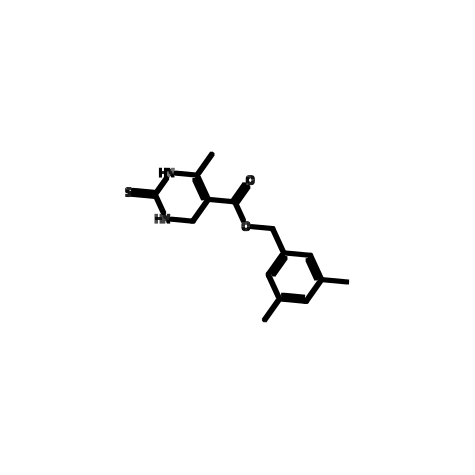 CC1=C(C(=O)OCc2cc(C)cc(C)c2)CNC(=S)N1